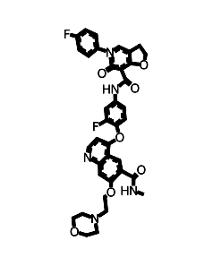 CNC(=O)c1cc2c(Oc3ccc(NC(=O)c4c5c(cn(-c6ccc(F)cc6)c4=O)CCO5)cc3F)ccnc2cc1OCCN1CCOCC1